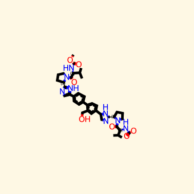 COC(=O)N[C@H](C(=O)N1CCC[C@H]1C1=NCC(c2ccc(-c3ccc(-c4cnc([C@@H]5CCCN5C(=O)[C@@H](NC(=O)OC)C(C)C)[nH]4)cc3)c(CO)c2)N1)C(C)C